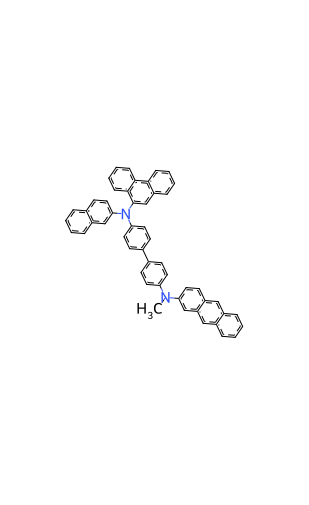 CN(c1ccc(-c2ccc(N(c3ccc4ccccc4c3)c3cc4ccccc4c4ccccc34)cc2)cc1)c1ccc2cc3ccccc3cc2c1